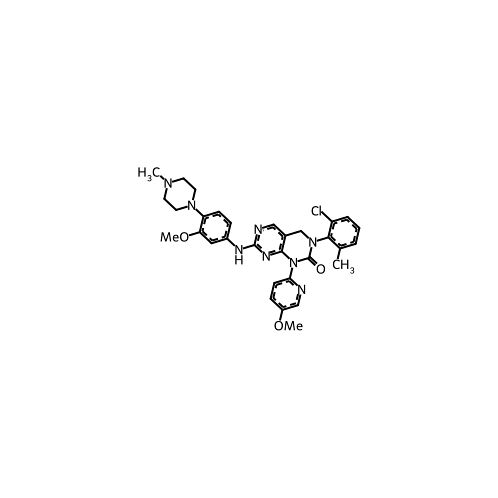 COc1ccc(N2C(=O)N(c3c(C)cccc3Cl)Cc3cnc(Nc4ccc(N5CCN(C)CC5)c(OC)c4)nc32)nc1